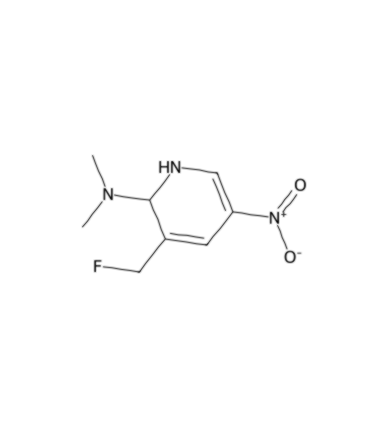 CN(C)C1NC=C([N+](=O)[O-])C=C1CF